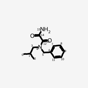 CC(C)CN(Cc1ccccc1)C(=O)C(N)=O